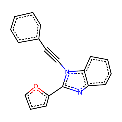 C(#Cn1c(-c2ccco2)nc2ccccc21)c1ccccc1